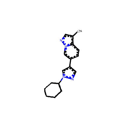 N#Cc1cnn2cc(-c3cnn(C4CCCCC4)c3)ccc12